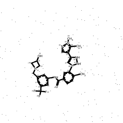 Cc1ccc(C(=O)Nc2cc(CN3CC(O)C3)cc(C(F)(F)F)c2)cc1N1C=C(c2cnn(C)c2C)NN1